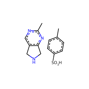 Cc1ccc(S(=O)(=O)O)cc1.Cc1ncc2c(n1)CNC2